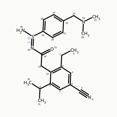 CCc1cc(C#N)cc(C(C)C)c1CC(=O)/N=S(/N)c1ccc(CN(C)C)cc1